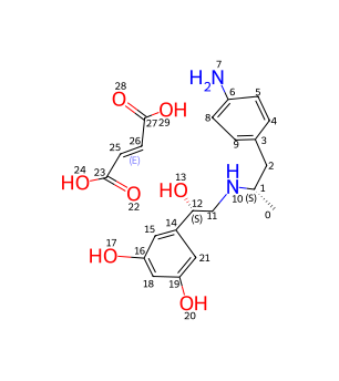 C[C@@H](Cc1ccc(N)cc1)NC[C@@H](O)c1cc(O)cc(O)c1.O=C(O)/C=C/C(=O)O